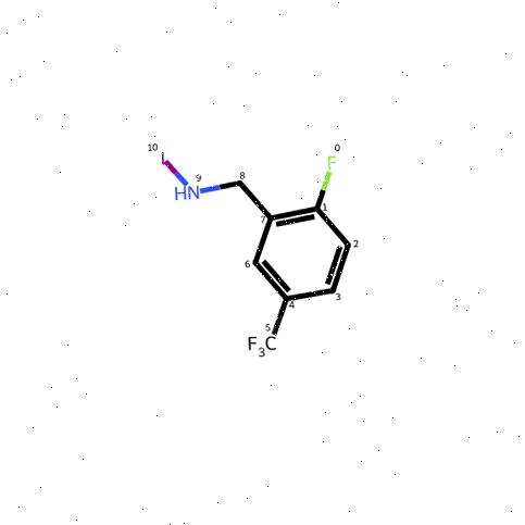 Fc1ccc(C(F)(F)F)cc1CNI